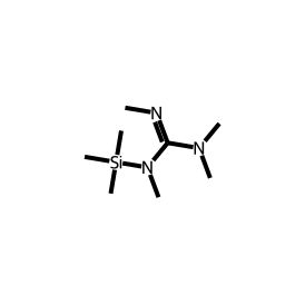 CN=C(N(C)C)N(C)[Si](C)(C)C